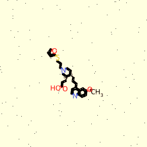 COc1ccc2nccc(CCC[C@@H]3CCN(CCCSc4ccco4)C[C@@H]3CCC(=O)O)c2c1